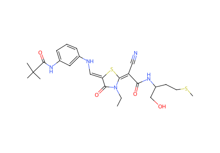 CCn1c(=C(C#N)C(=O)NC(CO)CCSC)sc(=CNc2cccc(NC(=O)C(C)(C)C)c2)c1=O